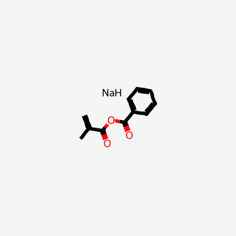 C=C(C)C(=O)OC(=O)c1ccccc1.[NaH]